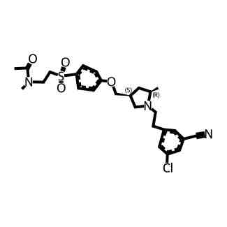 CC(=O)N(C)CCS(=O)(=O)c1ccc(OC[C@H]2C[C@@H](C)N(CCc3cc(Cl)cc(C#N)c3)C2)cc1